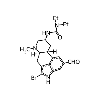 CCN(CC)C(=O)N[C@H]1C[C@@H]2c3cc(C=O)cc4[nH]c(Br)c(c34)C[C@H]2N(C)C1